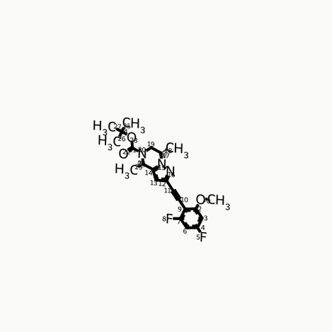 COc1cc(F)cc(F)c1C#Cc1cc2n(n1)[C@@H](C)CN(C(=O)OC(C)(C)C)[C@@H]2C